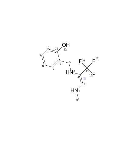 CN/C=C(\NCc1ccccc1O)C(F)(F)F